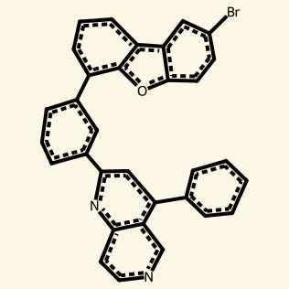 Brc1ccc2oc3c(-c4cccc(-c5cc(-c6ccccc6)c6cnccc6n5)c4)cccc3c2c1